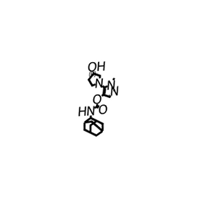 Cn1ncc(OC(=O)NC2C3CC4CC(C3)CC2C4)c1N1CC[C@@H](O)C1